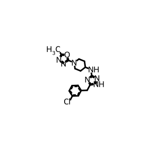 Cc1nnc(N2CCC(Nc3n[nH]c(Cc4cccc(Cl)c4)n3)CC2)o1